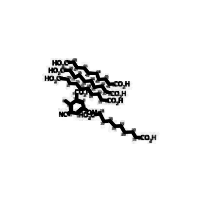 COc1cc(C#N)c(C)c(C(=O)O)c1.O=C(O)CCCCCCCCC(=O)O.O=C(O)CCCCCCCCC(=O)O.O=C(O)CCCCCCCCC(=O)O.O=C(O)CCCCCCCCC(=O)O